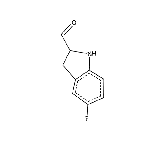 O=CC1Cc2cc(F)ccc2N1